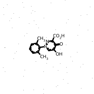 Cc1cccc(C)c1-n1cc(O)c(=O)c(C(=O)O)n1